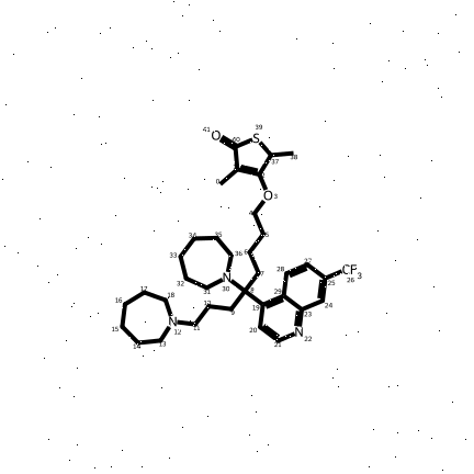 CC1=C(OCCCCC(CCCN2CCCCCC2)(c2ccnc3cc(C(F)(F)F)ccc23)N2CCCCCC2)C(C)SC1=O